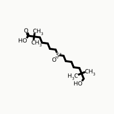 CC(C)(CO)CCCCC[S+]([O-])CCCCCC(C)(C)C(=O)O